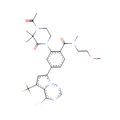 COCCN(C)C(=O)c1ccc(-c2cc(C(F)(F)F)c3c(N)ncnn23)cc1N1CCN(C(C)=O)C(C)(C)C1=O